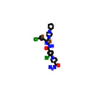 NC(=O)C1CCN(c2ccc(C(=O)Nc3nc(-c4cc(Cl)cs4)c(N4CCN(C5CCCCC5)CC4)s3)cc2Br)CC1